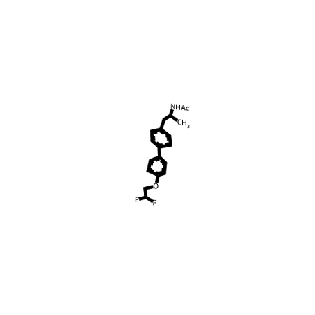 CC(=O)NC(C)Cc1ccc(-c2ccc(OCC(F)F)cc2)cc1